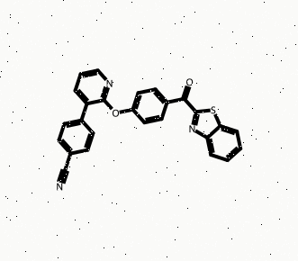 N#Cc1ccc(-c2cccnc2Oc2ccc(C(=O)c3nc4ccccc4s3)cc2)cc1